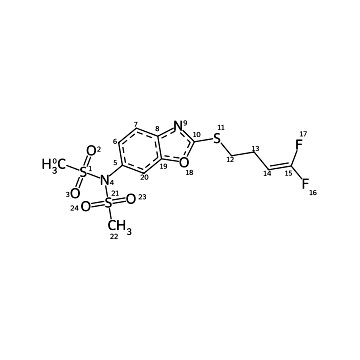 CS(=O)(=O)N(c1ccc2nc(SCCC=C(F)F)oc2c1)S(C)(=O)=O